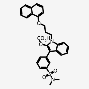 CN(C)S(=O)(=O)c1cccc(-c2c(OC(=O)O)n(CCCOc3cccc4ccccc34)c3ccccc23)c1